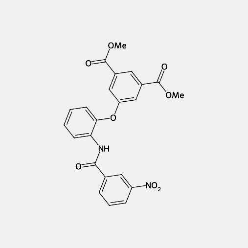 COC(=O)c1cc(Oc2ccccc2NC(=O)c2cccc([N+](=O)[O-])c2)cc(C(=O)OC)c1